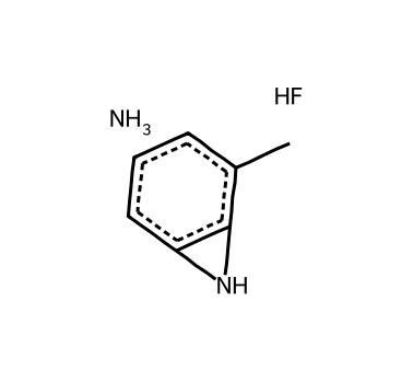 Cc1cccc2c1N2.F.N